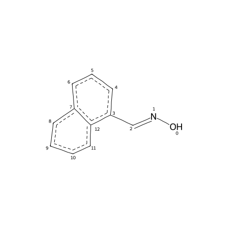 ON=Cc1cccc2ccccc12